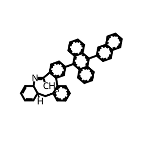 C/C1=N\C2C=CC=C[C@H]2Cc2ccccc2-c2cc(-c3c4ccccc4c(-c4ccc5ccccc5c4)c4ccccc34)ccc21